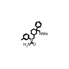 CNCC1(c2ccccc2)CCCC(CN(C(N)=O)c2cccc(C)c2)C1